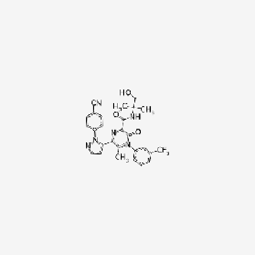 Cc1c(-c2ccnn2-c2ccc(C#N)cc2)nc(C(=O)NC(C)(C)CO)c(=O)n1-c1cccc(C(F)(F)F)c1